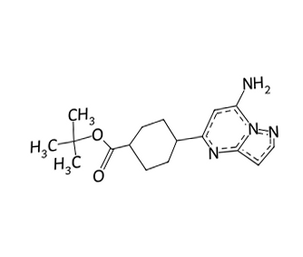 CC(C)(C)OC(=O)C1CCC(c2cc(N)n3nccc3n2)CC1